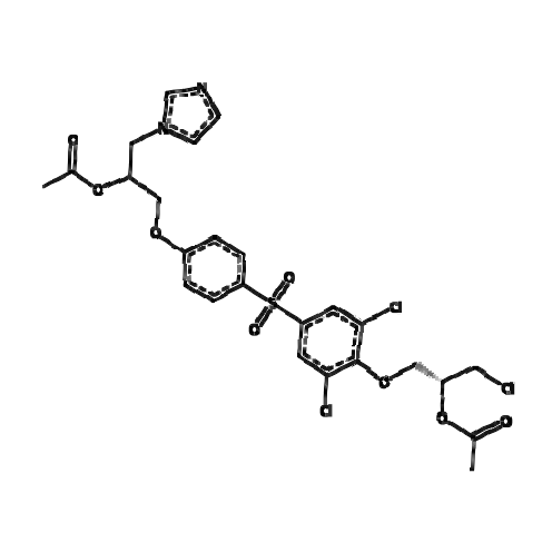 CC(=O)OC(COc1ccc(S(=O)(=O)c2cc(Cl)c(OC[C@H](CCl)OC(C)=O)c(Cl)c2)cc1)Cn1ccnc1